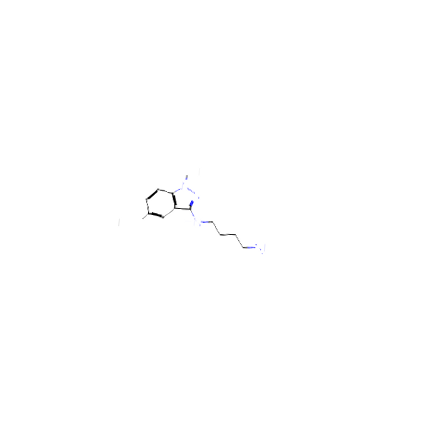 CNCCCCNc1nn(C)c2ccc(C)cc12